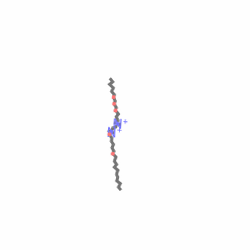 CCCCCCCCCCCCCCCCCC[N+](C)(C)CC[N+](C)(C)CCCCCCCCCCCCCC